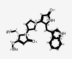 CC(C)C[C@H]1C(OC(C)(C)C)=CC(=O)N1C1CCN(C2=CC(=O)NC2Cc2c[nH]c3ccccc23)C1